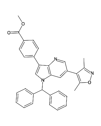 COC(=O)c1ccc(-c2cn(C(c3ccccc3)c3ccccc3)c3cc(-c4c(C)noc4C)cnc23)cc1